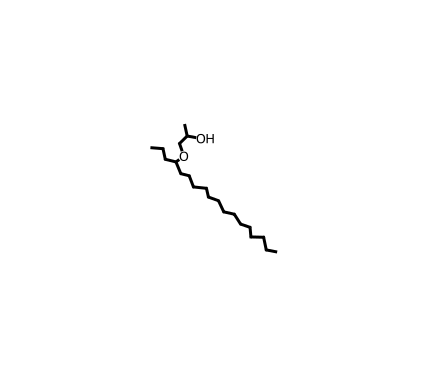 CCCCCCCCCCCCCCC(CCC)OCC(C)O